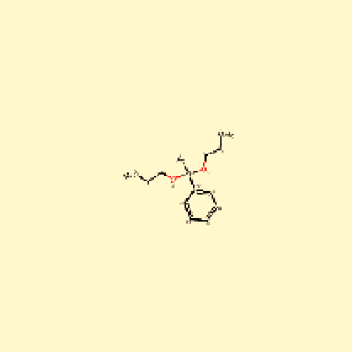 CC[Si](OCCOC)(OCCOC)c1ccccc1